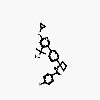 CC(C)(O)c1cc(OC2CC2)ncc1-c1ccc(C2(NC(=O)c3ccc(F)cc3)CCC2)cc1